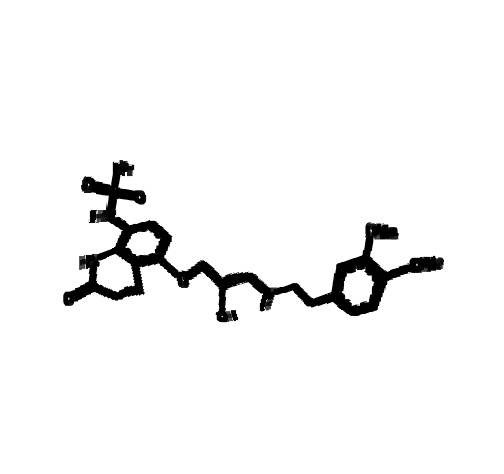 CCCS(=O)(=O)Nc1ccc(OCC(O)CNCCc2ccc(OC)c(OC)c2)c2c1NC(=O)CC2